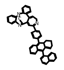 C1=C2C(=CCN=C1c1ccc(C3=c4ccccc4=C(c4cccc5ccccc45)C4=CCCCC43)cc1)c1ccccc1N1CCC2=Nc2ccccc21